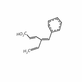 C=CC(C=CC(=O)O)=Cc1ccccc1